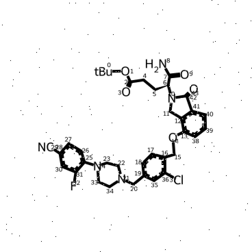 CC(C)(C)OC(=O)CC[C@@H](C(N)=O)N1Cc2c(OCc3ccc(CN4CCN(c5ccc(C#N)cc5F)CC4)cc3Cl)cccc2C1=O